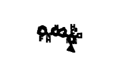 Cc1c(Cl)nc(C2CC2)nc1N1CCc2ncc(Nc3ccccc3F)cc2C1